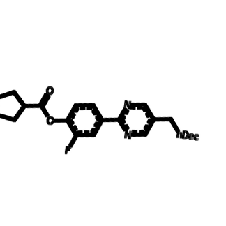 CCCCCCCCCCCc1cnc(-c2ccc(OC(=O)C3CCCC3)c(F)c2)nc1